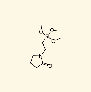 CO[Si](CCN1CCCC1=O)(OC)OC